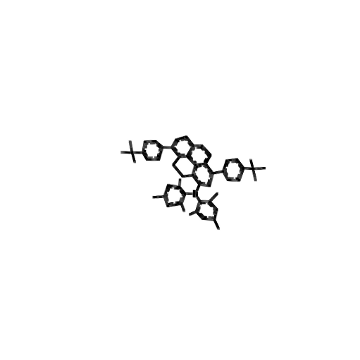 Cc1cc(C)c(B(c2cc(-c3ccc(C(C)(C)C)cc3)c3ccc4ccc(-c5ccc(C(C)(C)C)cc5)c5c4c3c2CC5)c2c(C)cc(C)cc2C)c(C)c1